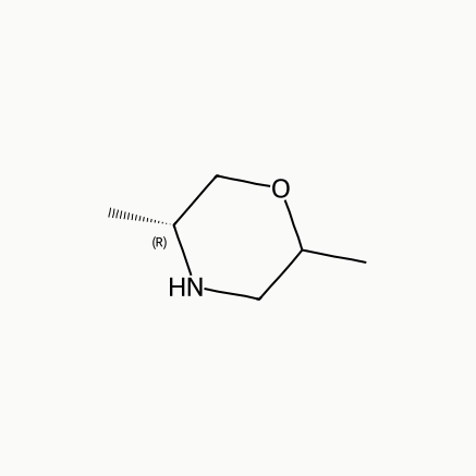 CC1CN[C@H](C)CO1